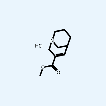 COC(=O)C1=CC2CCCN(C1)C2.Cl